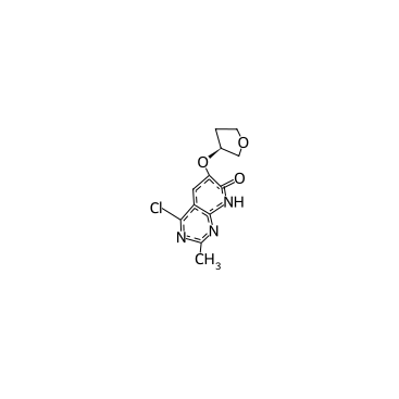 Cc1nc(Cl)c2cc(O[C@H]3CCOC3)c(=O)[nH]c2n1